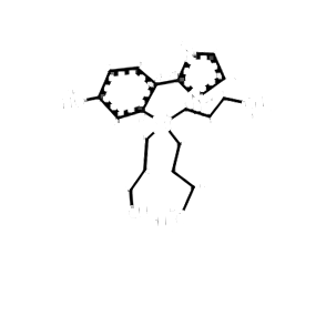 CCC[CH2][Sn]([CH2]CCC)([CH2]CCC)[c]1cc(O)ccc1-c1ncc[nH]1